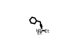 CC[SiH](C#CCC1CCCCC1)CC